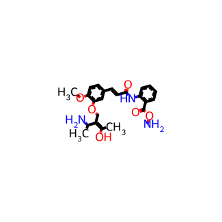 COc1ccc(/C=C/C(=O)Nc2ccccc2C(=O)ON)cc1OC/C(=C(\C)O)C(C)N